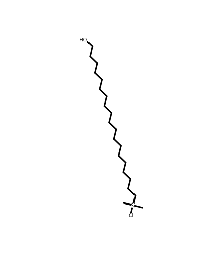 C[Si](C)(Cl)CCCCCCCCCCCCCCCCCCCO